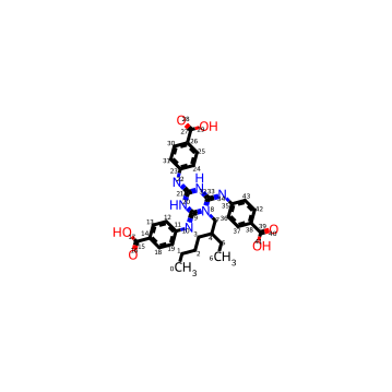 CCCCC(CC)Cn1c(=Nc2ccc(C(=O)O)cc2)[nH]c(=Nc2ccc(C(=O)O)cc2)[nH]c1=Nc1ccc(C(=O)O)cc1